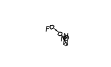 Fc1cccc(C#Cc2ccc(-c3noc(N4CCCC4)n3)cc2)c1